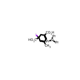 CC(C)[Si](C(C)C)C(C)C.CC1=CC(I)(C(=O)O)CC(C(=O)O)=C1